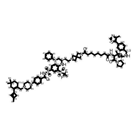 Cc1ncsc1-c1ccc([C@H](C)NC(=O)[C@@H]2CCCN2C(=O)C(NC(=O)CCCCCCC(=O)N2CC3(CN(CC[C@H](CSc4ccccc4)Nc4ccc(S(=O)(=O)NC(=O)c5ccc(N6CCN(CC7=C(C89CC(C)(C8)C9)CC(C)(C)CC7)CC6)cc5)cc4S(=O)(=O)C(F)(F)F)C3)C2)C(C)(C)C)cc1